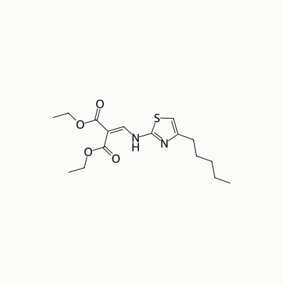 CCCCCc1csc(NC=C(C(=O)OCC)C(=O)OCC)n1